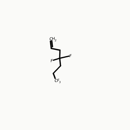 C=CCC(F)(F)CCC(F)(F)F